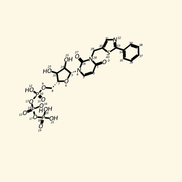 O=c1ccn([C@@H]2O[C@H](COP(=O)(O)OP(=O)(O)OP(=O)(O)O)C(O)C2O)c(=O)n1Cc1cnc(-c2ccccc2)s1